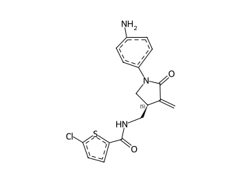 C=C1C(=O)N(c2ccc(N)cc2)C[C@@H]1CNC(=O)c1ccc(Cl)s1